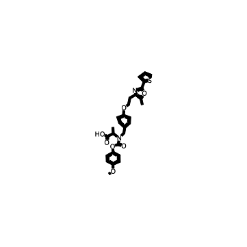 COc1ccc(OC(=O)N(Cc2ccc(OCCc3nc(-c4cccs4)oc3C)cc2)C(C)C(=O)O)cc1